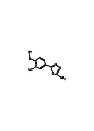 CC(C)Oc1ccc(-c2nnc(N)o2)cc1C#N